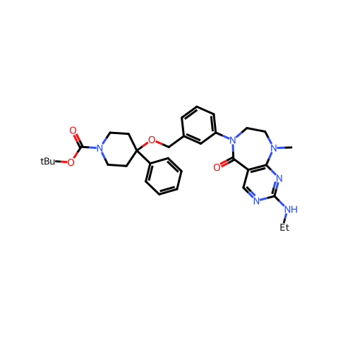 CCNc1ncc2c(n1)N(C)CCN(c1cccc(COC3(c4ccccc4)CCN(C(=O)OC(C)(C)C)CC3)c1)C2=O